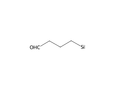 O=CCCC[Si]